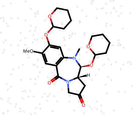 COc1cc2c(cc1OC1CCCCO1)N(C)[C@@H](OC1CCCCO1)[C@@H]1CC(=O)CN1C2=O